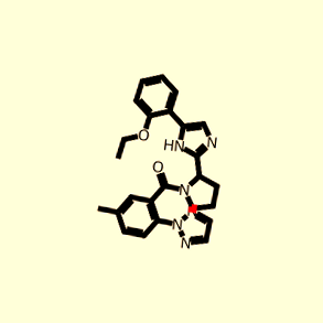 CCOc1ccccc1-c1cnc(C2CCCN2C(=O)c2cc(C)ccc2-n2nccn2)[nH]1